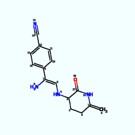 C=C1CCC(N/C=C(\N)c2ccc(C#N)cc2)C(=O)N1